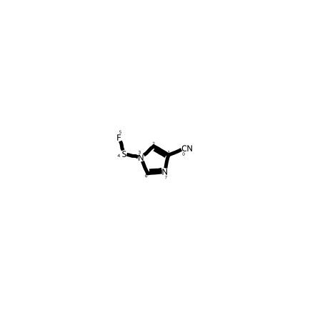 N#Cc1cn(SF)cn1